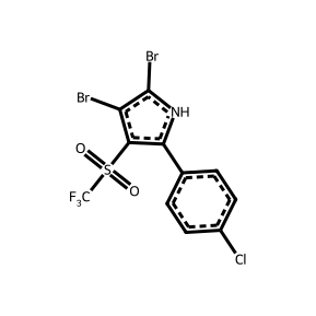 O=S(=O)(c1c(-c2ccc(Cl)cc2)[nH]c(Br)c1Br)C(F)(F)F